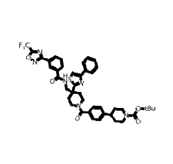 CC(C)(C)OC(=O)N1CCC(c2ccc(C(=O)N3CCC(CNC(=O)c4cccc(-c5noc(C(F)(F)F)n5)c4)(c4nc(-c5ccccc5)cs4)CC3)cc2)CC1